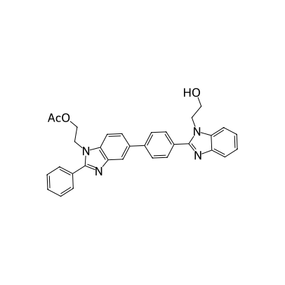 CC(=O)OCCn1c(-c2ccccc2)nc2cc(-c3ccc(-c4nc5ccccc5n4CCO)cc3)ccc21